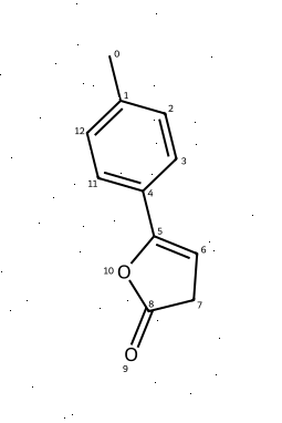 Cc1ccc(C2=CCC(=O)O2)cc1